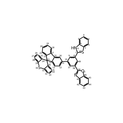 c1ccc2c(c1)NC(c1cc(-c3ccc4c(c3)-c3ccccc3C43c4ccccc4Sc4ccccc43)cc(-c3nc4ccccc4o3)c1)S2